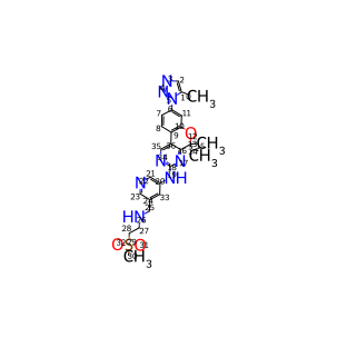 Cc1cnnn1-c1ccc2c(c1)OC(C)(C)c1nc(Nc3cncc(CNCCS(C)(=O)=O)c3)ncc1-2